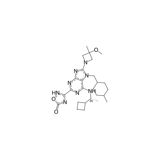 COC1(C)CN(c2nc3nc(-c4nc(=O)o[nH]4)nc(N[C@H](C)C4CCC4)c3n2CC2CCC(C)CC2)C1